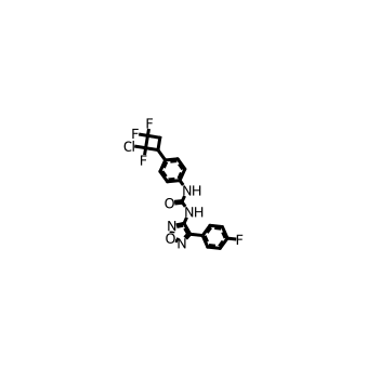 O=C(Nc1ccc(C2CC(F)(F)C2(F)Cl)cc1)Nc1nonc1-c1ccc(F)cc1